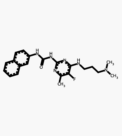 Cc1nc(NC(=O)Nc2ccc3ccccc3c2)nc(NCCCN(C)C)c1F